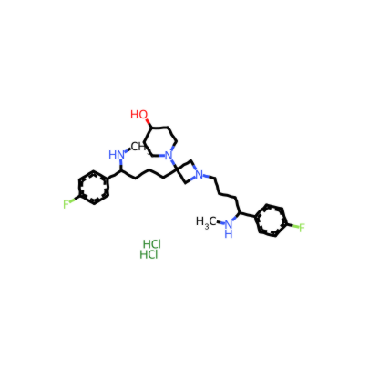 CNC(CCCN1CC(CCCC(NC)c2ccc(F)cc2)(N2CCC(O)CC2)C1)c1ccc(F)cc1.Cl.Cl